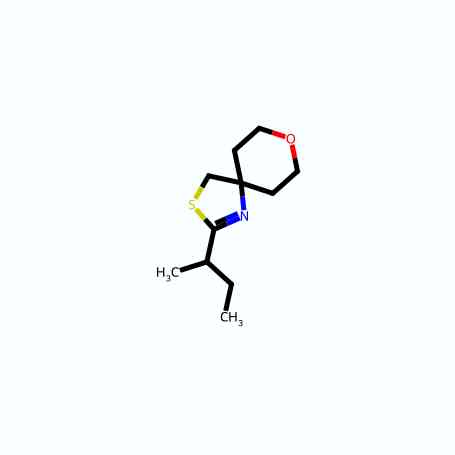 CCC(C)C1=NC2(CCOCC2)CS1